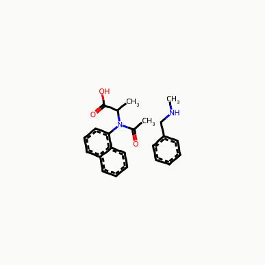 CC(=O)N(c1cccc2ccccc12)C(C)C(=O)O.CNCc1ccccc1